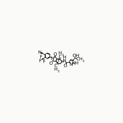 CC(O)c1cc(C(=O)N[C@H]2C[C@]3(C)O[C@@]2(C)C2C(=O)N(c4ccc(C#N)c(C(F)(F)F)c4)C(=O)C23)n[nH]1